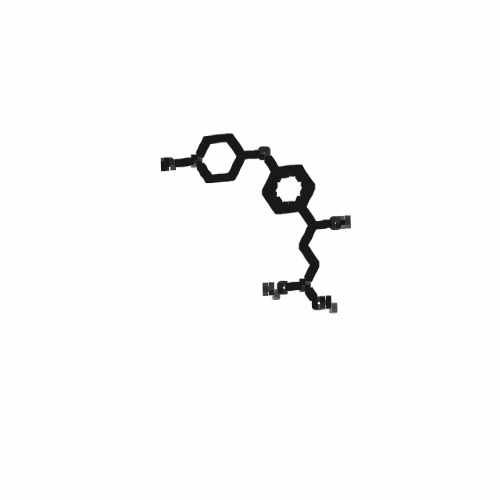 CC(C)N1CCC(Oc2ccc(C(O)CCN(C)C)cc2)CC1